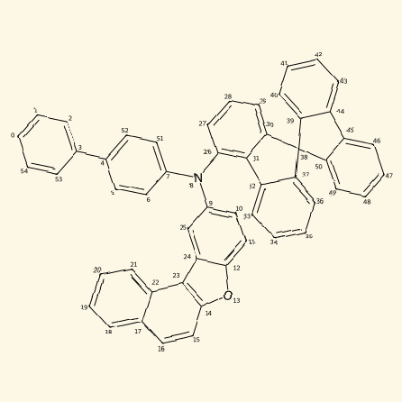 c1ccc(-c2ccc(N(c3ccc4oc5ccc6ccccc6c5c4c3)c3cccc4c3-c3ccccc3C43c4ccccc4-c4ccccc43)cc2)cc1